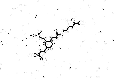 CC(C)CCCCOC(=O)CCC1CCC(CCC(=O)O)CC1CCC(=O)O